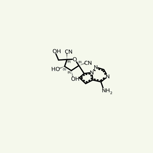 N#C[C@]1(CO)O[C@@](C#N)(c2ccc3c(N)ncnn23)[C@H](O)[C@@H]1O